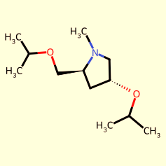 CC(C)OC[C@@H]1C[C@@H](OC(C)C)CN1C